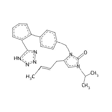 CC=CCc1cn(C(C)C)c(=O)n1Cc1ccc(-c2ccccc2-c2nnn[nH]2)cc1